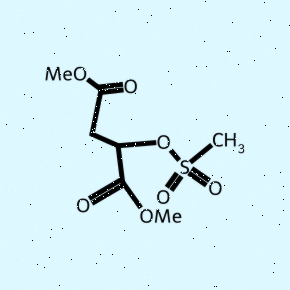 COC(=O)CC(OS(C)(=O)=O)C(=O)OC